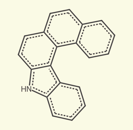 c1ccc2c(c1)ccc1ccc3[nH]c4ccccc4c3c12